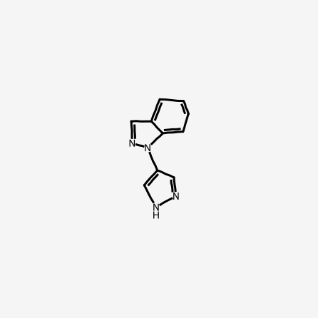 c1ccc2c(c1)cnn2-c1cn[nH]c1